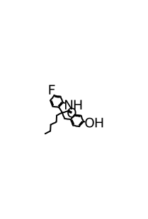 CCCCCC1(Cc2ccc(O)cc2)C(=O)Nc2cc(F)ccc21